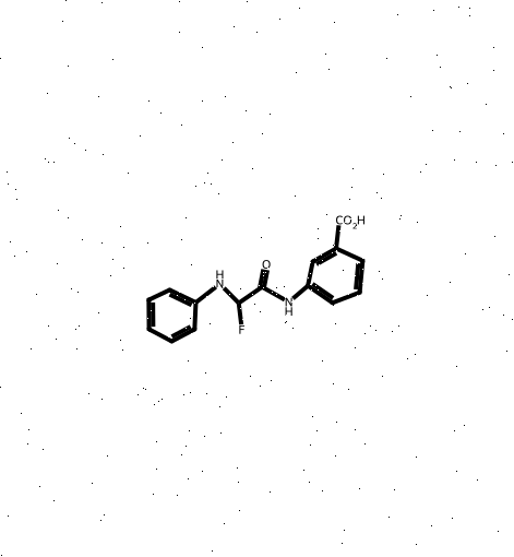 O=C(O)c1cccc(NC(=O)C(F)Nc2ccccc2)c1